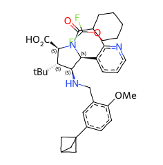 COc1ccc(C23CC(C2)C3)cc1CN[C@H]1[C@H](C(C)(C)C)[C@@H](C(=O)O)N(C(=O)C2CCCCC2)[C@H]1c1cccnc1OC(F)F